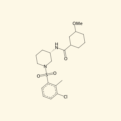 COC1CCCC(C(=O)N[C@H]2CCCN(S(=O)(=O)c3cccc(Cl)c3C)C2)C1